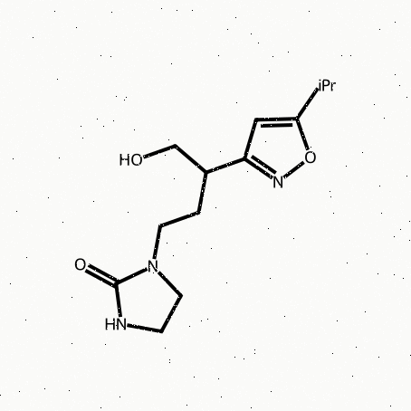 CC(C)c1cc(C(CO)CCN2CCNC2=O)no1